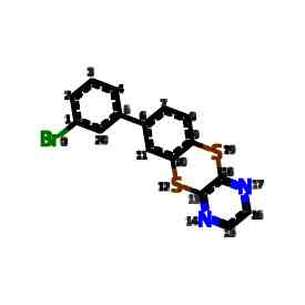 Brc1cccc(-c2ccc3c(c2)Sc2nccnc2S3)c1